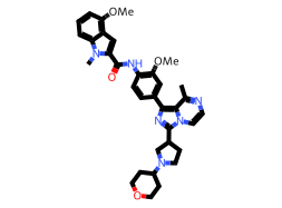 COc1cc(-c2nc(C3CCN(C4CCOCC4)C3)n3ccnc(C)c23)ccc1NC(=O)c1cc2c(OC)cccc2n1C